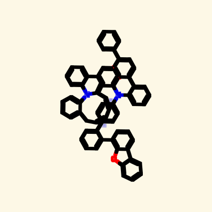 C=C1/C=C\C=C/Cc2ccccc2N1c1ccccc1-c1cccc(N(c2ccc(-c3ccccc3-c3cccc4c3oc3ccccc34)cc2)c2ccccc2-c2ccc(-c3ccccc3)cc2)c1